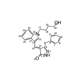 O=C1NN=C(Cc2ccccc2)/C1=C\c1cn(CCCCO)c2ccccc12